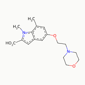 Cc1cc(OCCN2CCOCC2)cc2cc(C(=O)O)n(C)c12